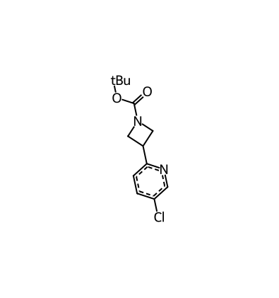 CC(C)(C)OC(=O)N1CC(c2ccc(Cl)cn2)C1